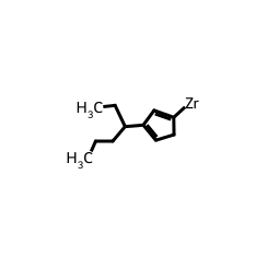 CCCC(CC)C1=CC[C]([Zr])=C1